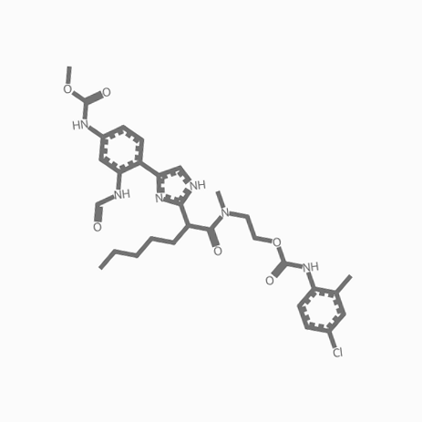 CCCCCC(C(=O)N(C)CCOC(=O)Nc1ccc(Cl)cc1C)c1nc(-c2ccc(NC(=O)OC)cc2NC=O)c[nH]1